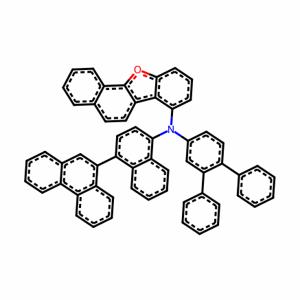 c1ccc(-c2ccc(N(c3ccc(-c4cc5ccccc5c5ccccc45)c4ccccc34)c3cccc4oc5c6ccccc6ccc5c34)cc2-c2ccccc2)cc1